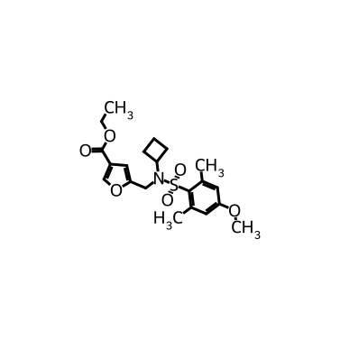 CCOC(=O)c1coc(CN(C2CCC2)S(=O)(=O)c2c(C)cc(OC)cc2C)c1